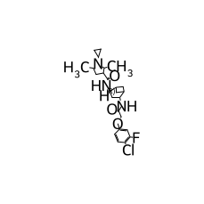 CC1CC(C(=O)N[C@@H]2CC(NC(=O)COc3ccc(Cl)c(F)c3)C3CC2C3)C(C)N1C1CC1